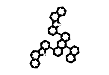 c1ccc2c(-c3c4cccc(-c5cccc6c5oc5c7ccccc7ccc65)c4cc4c(-c5cccc6c5oc5c7ccccc7ccc65)cccc34)cccc2c1